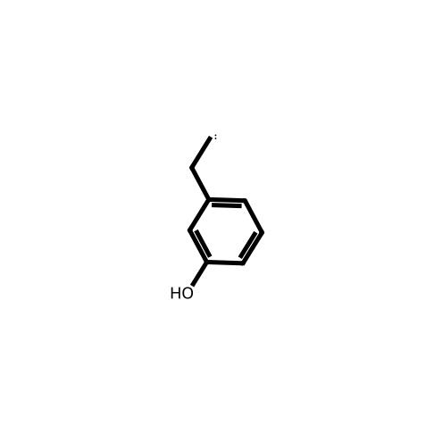 [CH]Cc1cccc(O)c1